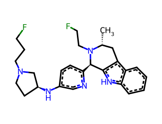 C[C@@H]1Cc2c([nH]c3ccccc23)[C@@H](c2ccc(N[C@H]3CCN(CCCF)C3)cn2)N1CCF